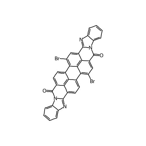 O=c1c2ccc3c4c(Br)cc5c6c(cc(Br)c(c7ccc(c2c73)c2nc3ccccc3n12)c46)c(=O)n1c2ccccc2nc51